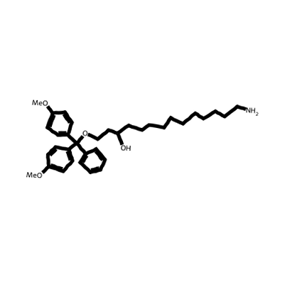 COc1ccc(C(OCCC(O)CCCCCCCCCCCN)(c2ccccc2)c2ccc(OC)cc2)cc1